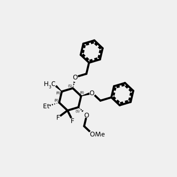 CC[C@@H]1[C@@H](C)[C@H](OCc2ccccc2)[C@@H](OCc2ccccc2)[C@H](OCOC)C1(F)F